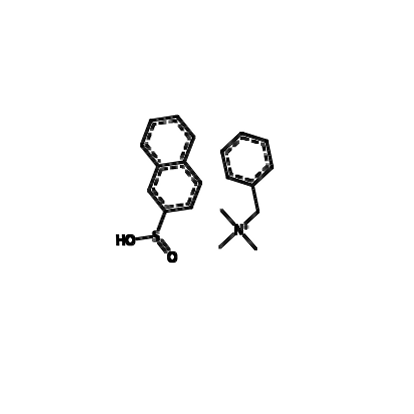 C[N+](C)(C)Cc1ccccc1.O=S(O)c1ccc2ccccc2c1